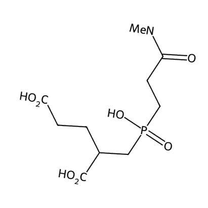 CNC(=O)CCP(=O)(O)CC(CCC(=O)O)C(=O)O